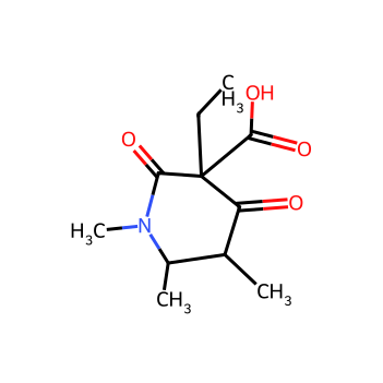 CCC1(C(=O)O)C(=O)C(C)C(C)N(C)C1=O